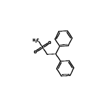 CS(=O)(=O)CC(c1ccccc1)c1ccccc1